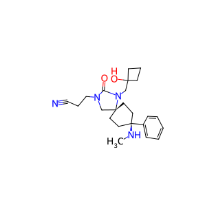 CN[C@]1(c2ccccc2)CC[C@@]2(CC1)CN(CCC#N)C(=O)N2CC1(O)CCC1